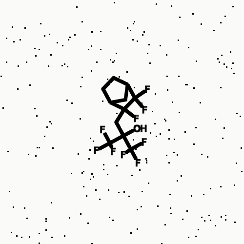 OC(CC1(F)C2CCC(C2)C1(F)F)(C(F)(F)F)C(F)(F)F